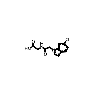 O=C(O)CNC(=O)Cn1ccc2ccc(Cl)cc21